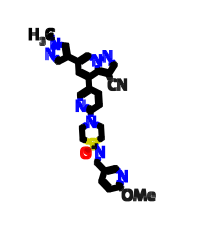 COc1ccc(CN=S2(=O)CCN(c3ccc(-c4cc(-c5cnn(C)c5)cn5ncc(C#N)c45)cn3)CC2)cn1